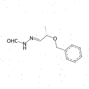 C[C@@H](/C=N/NC=O)OCc1ccccc1